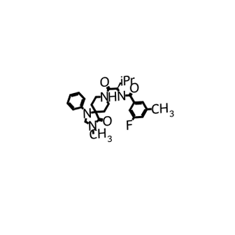 Cc1cc(F)cc(C(=O)N[C@@H](C(=O)N2CCC3(CC2)C(=O)N(C)CN3c2ccccc2)C(C)C)c1